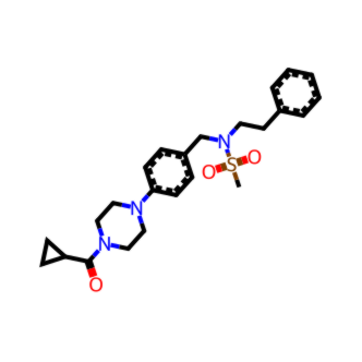 CS(=O)(=O)N(CCc1ccccc1)Cc1ccc(N2CCN(C(=O)C3CC3)CC2)cc1